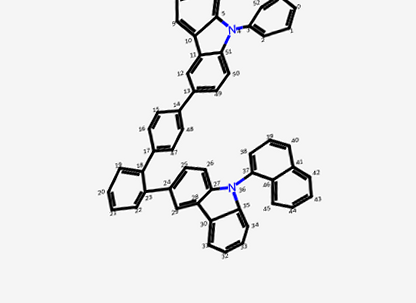 c1ccc(-n2c3ccccc3c3cc(-c4ccc(-c5ccccc5-c5ccc6c(c5)c5ccccc5n6-c5cccc6ccccc56)cc4)ccc32)cc1